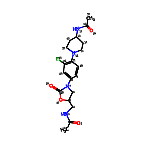 CC(=O)NCC1CN(c2ccc(N3CCC(NC(C)=O)CC3)c(F)c2)C(=O)O1